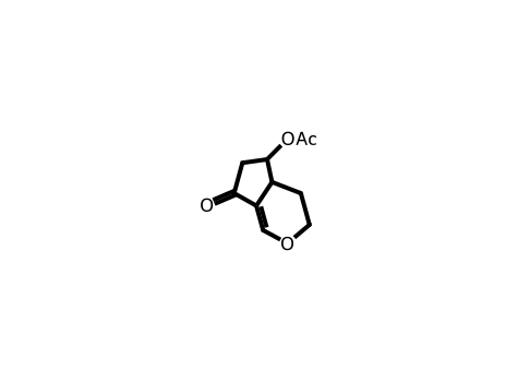 CC(=O)OC1CC(=O)C2=COCCC21